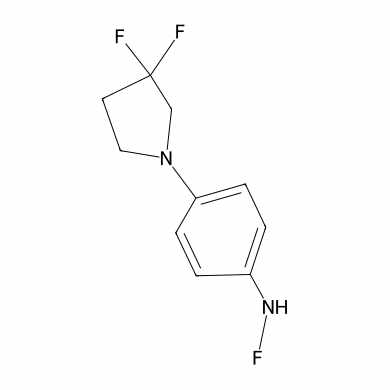 FNc1ccc(N2CCC(F)(F)C2)cc1